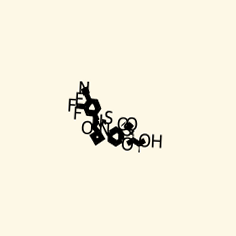 C[C@@H](O)[C@H]1CS(=O)(=O)c2cc(N3C(=S)N(c4ccc(C#N)c(C(F)(F)F)c4)C(=O)C34CCC4)ccc2O1